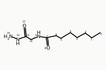 CCCCCCCC(=O)NCC(=O)NN